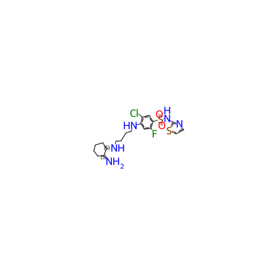 N[C@H]1CCCC[C@@H]1NCCCCNc1cc(F)c(S(=O)(=O)Nc2nccs2)cc1Cl